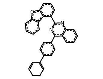 C1=CC(c2ccc(-c3nc(-c4cccc5oc6ccccc6c45)nc4ccccc34)cc2)=CCC1